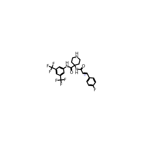 O=C(/C=C/c1ccc(F)cc1)NC1(C(=O)Nc2cc(C(F)(F)F)cc(C(F)(F)F)c2)CCNCC1